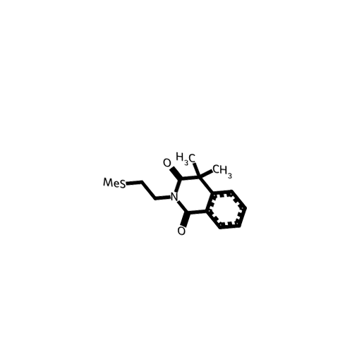 CSCCN1C(=O)c2ccccc2C(C)(C)C1=O